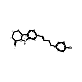 CCc1ccc(CCC=Cc2ccc3c(c2)NC2C(=O)CCCC32)cc1